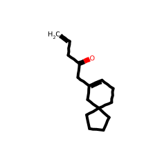 C=CCC(=O)CC1=CCCC2(CCCC2)C1